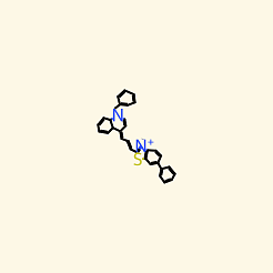 C[n+]1c(C=CC=C2C=CN(Cc3ccccc3)C3C=CC=CC23)sc2cc(-c3ccccc3)ccc21